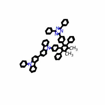 Cc1c(C)c(-c2ccccc2)c(-c2ccc(-n3c4ccccc4c4cc(-c5ccc6c(c5)c5ccccc5n6-c5ccccc5)ccc43)cc2)c(-c2ccc(-c3nc(-c4ccccc4)nc(-c4ccccc4)n3)cc2)c1-c1ccccc1